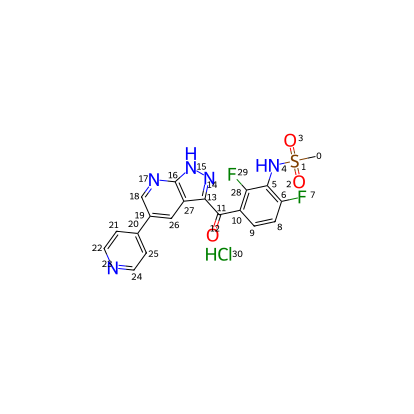 CS(=O)(=O)Nc1c(F)ccc(C(=O)c2n[nH]c3ncc(-c4ccncc4)cc23)c1F.Cl